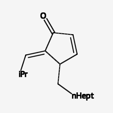 CCCCCCCCC1C=CC(=O)/C1=C/C(C)C